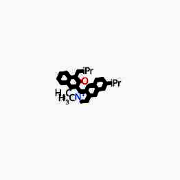 Cc1c2c(c(CC(C)C)c3ccccc13)Oc1c3ccc(C(C)C)cc3cc3cc[n+](C)c-2c13